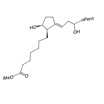 CCCCCC(O)CC=C1CC[C@H](O)[C@@H]1CCCCCCC(=O)OC